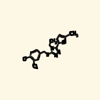 CCn1c(SCc2ccc(Cl)c(Cl)c2)nnc1-c1ccc(C)s1